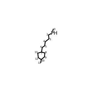 CPCCCCCC1CCC(C)CC1